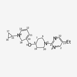 CCc1cnc(N2CCC(OC3=CC=[C]N(C4CC4)C3)CC2)nc1